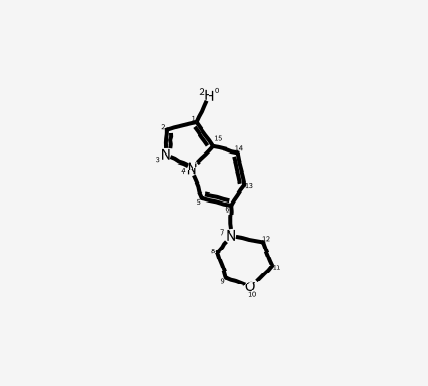 [2H]c1cnn2cc(N3CCOCC3)ccc12